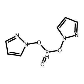 O=[PH](On1cccn1)On1cccn1